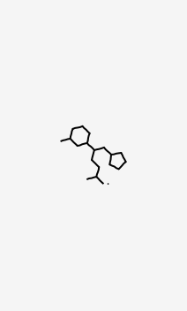 [CH2]C(C)CCC(CC1CCCC1)C1CCCC(C)C1